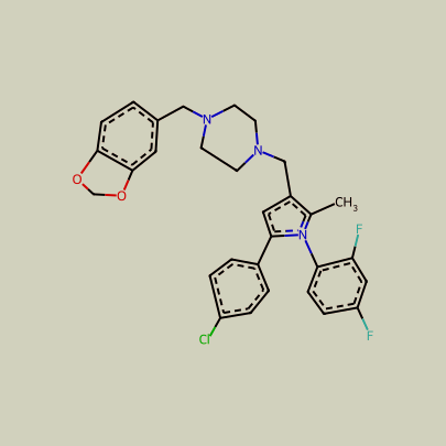 Cc1c(CN2CCN(Cc3ccc4c(c3)OCO4)CC2)cc(-c2ccc(Cl)cc2)n1-c1ccc(F)cc1F